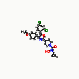 CCN(O)C(=O)N1CCC(c2nc(-c3ccc(OC)cc3)c(-c3ccc(Cl)cc3Cl)o2)CC1